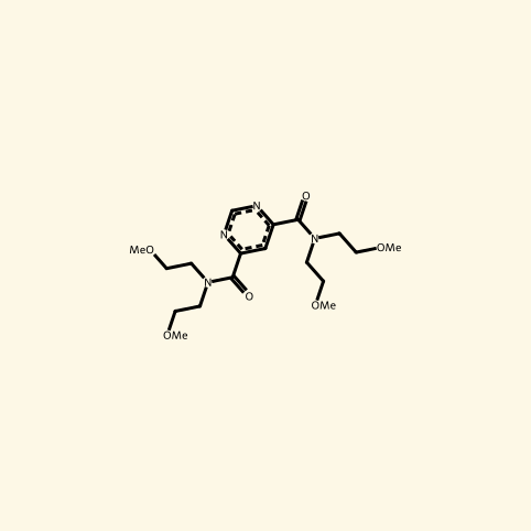 COCCN(CCOC)C(=O)c1cc(C(=O)N(CCOC)CCOC)ncn1